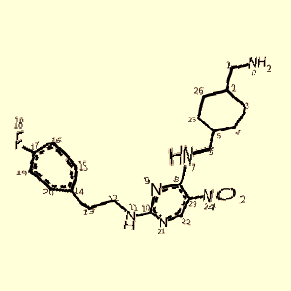 NCC1CCC(CNc2nc(NCCc3ccc(F)cc3)ncc2[N+](=O)[O-])CC1